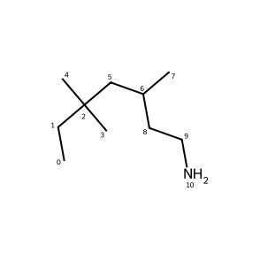 CCC(C)(C)CC(C)CCN